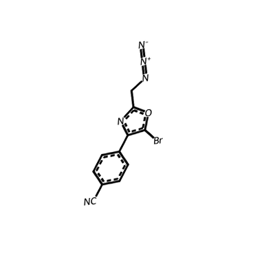 N#Cc1ccc(-c2nc(CN=[N+]=[N-])oc2Br)cc1